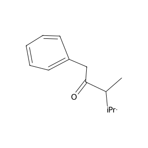 C[C](C)C(C)C(=O)Cc1ccccc1